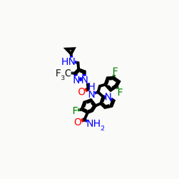 NC(=O)c1cc(-c2cccnc2C(Cc2cc(F)cc(F)c2)NC(=O)Cn2cc(CNC3CC3)c(C(F)(F)F)n2)ccc1F